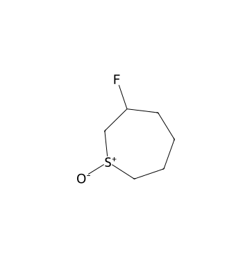 [O-][S+]1CCCCC(F)C1